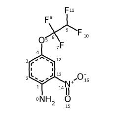 Nc1ccc(OC(F)(F)C(F)F)cc1[N+](=O)[O-]